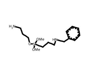 CO[Si](CCCNCc1ccccc1)(OC)OCCCN